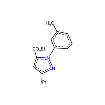 CCOC(=O)c1cc(C(C)C)nn1-c1cccc(C)c1